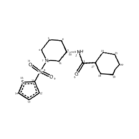 O=C(N[C@H]1CCCN(S(=O)(=O)c2cccs2)C1)C1CCCCC1